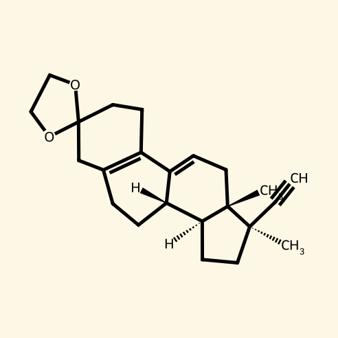 C#C[C@@]1(C)CC[C@H]2[C@@H]3CCC4=C(CCC5(C4)OCCO5)C3=CC[C@@]21C